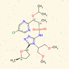 COCC(COC)n1c(NS(=O)(=O)[C@@H](C)[C@@H](OC(C)C)c2ncc(Cl)cn2)nnc1[C@H]1CC[C@@H](C)O1